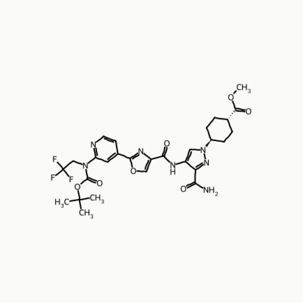 COC(=O)[C@H]1CC[C@H](n2cc(NC(=O)c3coc(-c4ccnc(N(CC(F)(F)F)C(=O)OC(C)(C)C)c4)n3)c(C(N)=O)n2)CC1